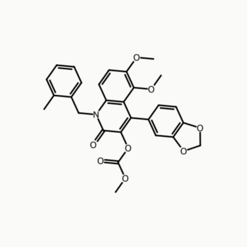 COC(=O)Oc1c(-c2ccc3c(c2)OCO3)c2c(OC)c(OC)ccc2n(Cc2ccccc2C)c1=O